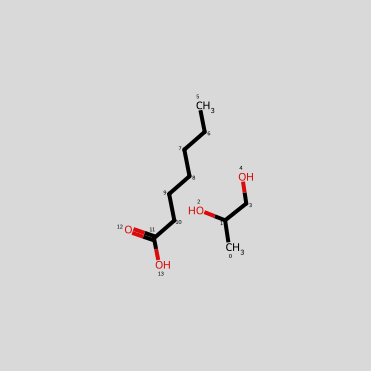 CC(O)CO.CCCCCCC(=O)O